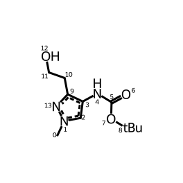 Cn1cc(NC(=O)OC(C)(C)C)c(CCO)n1